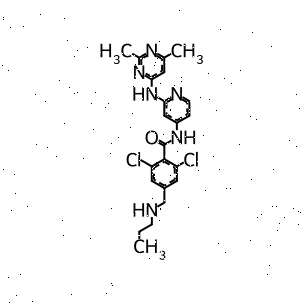 CCCNCc1cc(Cl)c(C(=O)Nc2ccnc(Nc3cc(C)nc(C)n3)c2)c(Cl)c1